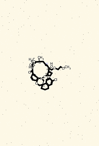 COCCOC[C@]1(O)/C=C/C[C@H](C)[C@@H](C)S(=O)(=O)NC(=O)c2ccc3c(c2)N(C[C@@H]2CC[C@H]21)C[C@@]1(CCCc2cc(Cl)ccc21)CO3